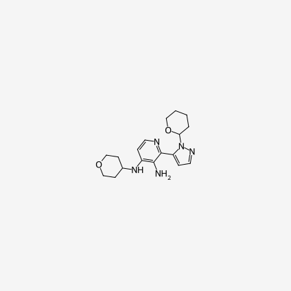 Nc1c(NC2CCOCC2)ccnc1-c1ccnn1C1CCCCO1